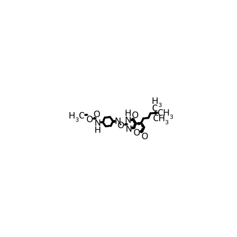 CCOC(=O)NC1CCC(=NOc2nc3oc(=O)cc(CCCC(C)(C)C)c3c(=O)[nH]2)CC1